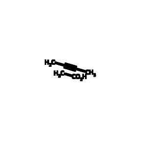 CC#CC.CC(=O)O